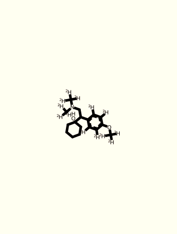 [2H]c1c([2H])c(C(CN(C([2H])([2H])[2H])C([2H])([2H])[2H])C2(O)CCCCC2)c([2H])c([2H])c1OC([2H])([2H])[2H]